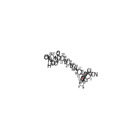 N#Cc1ccc(OC2C3CCC2CN(C(=O)c2ccc(N4CCN(C5CCN(c6ccc7c(c6)C(=O)N(C6CCC(=O)NC6=O)C7=O)CC5)CC4)cc2)C3)cc1Cl